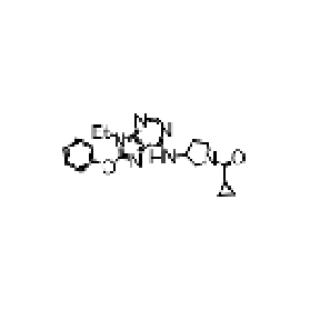 CCn1c(Oc2ccccc2)nc2c(N[C@H]3CCN(C(=O)C4CC4)C3)ncnc21